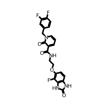 O=C(NCCOc1ccc2[nH]c(=O)[nH]c2c1F)c1cccn(Cc2ccc(F)c(F)c2)c1=O